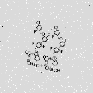 COC[C@H]1COC[C@H]1n1c(Cc2cc(F)c(-c3ccc(F)c(OCc4ccc(Cl)cc4F)c3)cc2F)nc2ccc(C(=O)O)cc21.COC[C@H]1COC[C@H]1n1c(Cc2cc(F)c(-c3ccc(F)c(OCc4ccc(Cl)cc4F)c3)cc2F)nc2ccc(C(=O)O)cc21